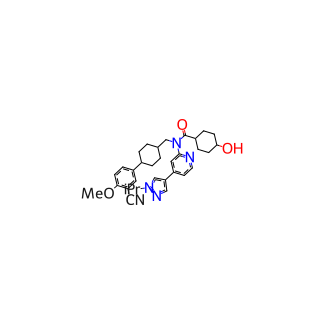 COc1ccc(C2CCC(CN(C(=O)C3CCC(O)CC3)c3cc(-c4cnn(C(C)C)c4)ccn3)CC2)cc1C#N